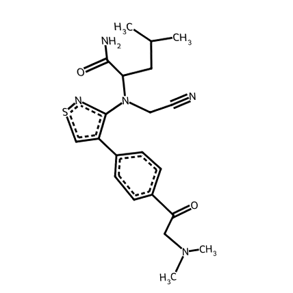 CC(C)CC(C(N)=O)N(CC#N)c1nscc1-c1ccc(C(=O)CN(C)C)cc1